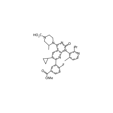 COC(=O)c1ccc(F)c(-c2nc3c(cc2C2CC2)c(N2CCN(C(=O)O)CC2C)nc(=O)n3-c2c(C)ccnc2C(C)C)c1